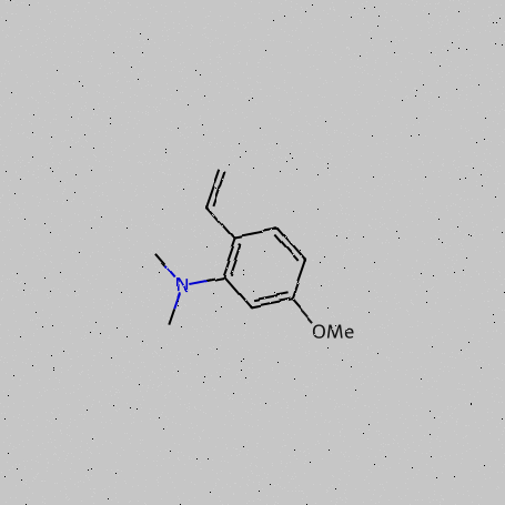 C=Cc1ccc(OC)cc1N(C)C